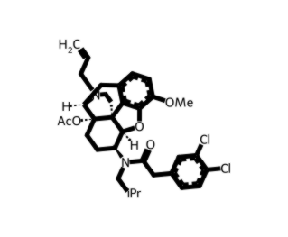 C=CCN1CC[C@]23c4c5ccc(OC)c4O[C@H]2[C@@H](N(CC(C)C)C(=O)Cc2ccc(Cl)c(Cl)c2)CC[C@@]3(OC(C)=O)[C@H]1C5